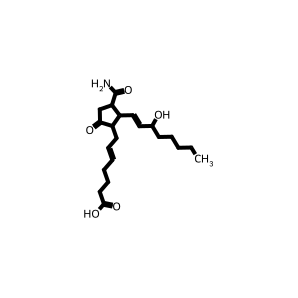 CCCCCC(O)/C=C/C1C(C(N)=O)CC(=O)C1C/C=C/CCCC(=O)O